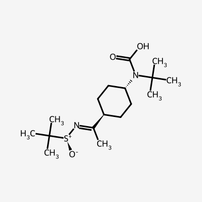 C/C(=N\[S@@+]([O-])C(C)(C)C)[C@H]1CC[C@H](N(C(=O)O)C(C)(C)C)CC1